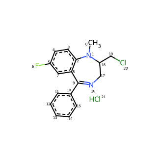 CN1c2ccc(F)cc2C(c2ccccc2)=NCC1CCl.Cl